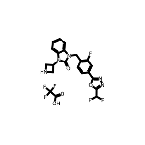 O=C(O)C(F)(F)F.O=c1n(Cc2ccc(-c3nnc(C(F)F)o3)cc2F)c2ccccc2n1C1CNC1